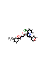 O=C(/C=C/CC1(O)CCCC(C(F)(F)F)C1)c1cc(C2CCOCC2)n2cccc(Cl)c12